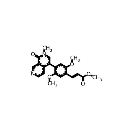 COC(=O)/C=C/c1cc(OC)c(-c2cn(C)c(=O)c3cnccc23)cc1OC